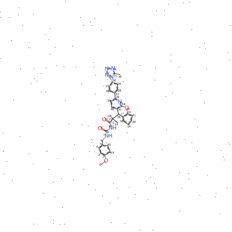 COc1ccc(CNC(=O)NC(=O)C(C)(C)C2c3ccccc3Oc3nc(-c4ccc(-n5nnnc5C)cc4)ccc32)cc1